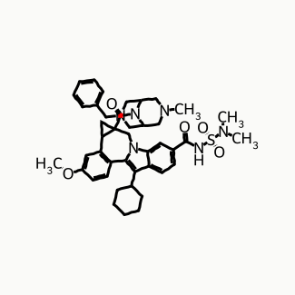 COc1ccc2c(c1)C1CC1(C(=O)N1C3CN(C)CC1CN(Cc1ccccc1)C3)Cn1c-2c(C2CCCCC2)c2ccc(C(=O)NS(=O)(=O)N(C)C)cc21